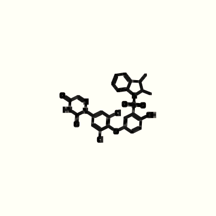 CC1c2ccccc2N(S(=O)(=O)c2cc(Oc3c(Cl)cc(-n4ncc(=O)[nH]c4=O)cc3Cl)ccc2O)C1C